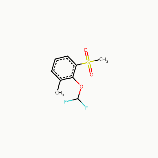 Cc1[c]ccc(S(C)(=O)=O)c1OC(F)F